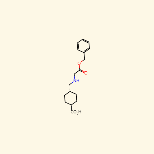 O=C(CNC[C@H]1CC[C@H](C(=O)O)CC1)OCc1ccccc1